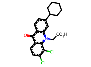 O=C(O)Cn1c2cc(C3CCCCC3)ccc2c(=O)c2ccc(Cl)c(Cl)c21